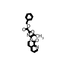 Cc1oc(C(=O)OCc2ccccc2)nc1-n1ccc2cccnc2c1=O